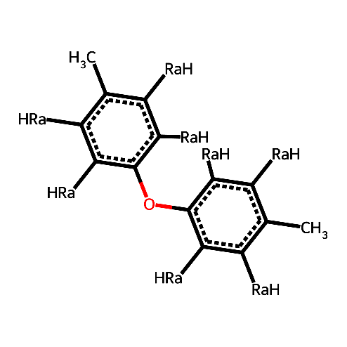 Cc1[c]([RaH])[c]([RaH])c(Oc2[c]([RaH])[c]([RaH])c(C)[c]([RaH])[c]2[RaH])[c]([RaH])[c]1[RaH]